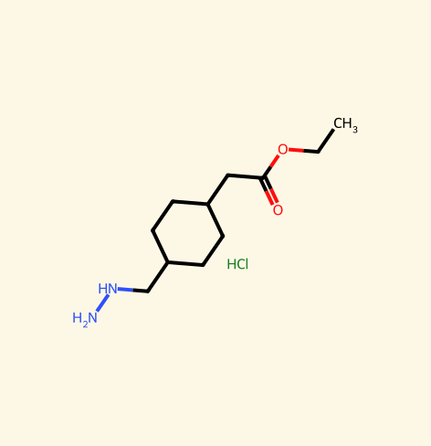 CCOC(=O)CC1CCC(CNN)CC1.Cl